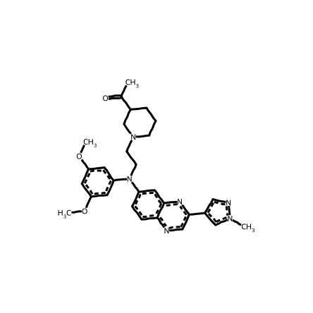 COc1cc(OC)cc(N(CCN2CCCC(C(C)=O)C2)c2ccc3ncc(-c4cnn(C)c4)nc3c2)c1